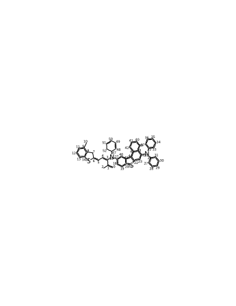 C=C(C)/C(=C\C=C1/Cc2c(C)cccc2S1)N(c1ccc2sc3cc(N(c4ccccc4)c4ccccc4)c4ccccc4c3c2c1)C1C=CC=CC1